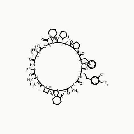 CC[C@H](C)[C@@H]1NC(=O)[C@H](CC(C)C)N(C)C(=O)C[C@@H](C(=O)N2CCCCC2)N(C)C(=O)[C@H](C2CCCC2)N(C)C(=O)C2(CCCC2)NC(=O)[C@@H](Cc2ccccc2)N(C)C(=O)[C@H](CCc2ccc(C(F)(F)F)c(Cl)c2)NC(=O)CN(C)C(=O)[C@H](CC2CCCCC2)N(C)C(=O)[C@@H]2CCN2C(=O)[C@H](C)N(C)C1=O